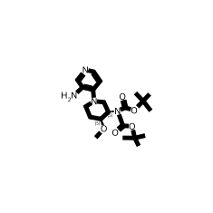 CO[C@H]1CCN(c2ccncc2N)C[C@@H]1N(C(=O)OC(C)(C)C)C(=O)OC(C)(C)C